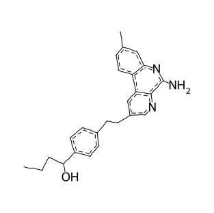 CCCC(O)c1ccc(CCc2cnc3c(N)nc4cc(C)ccc4c3c2)cc1